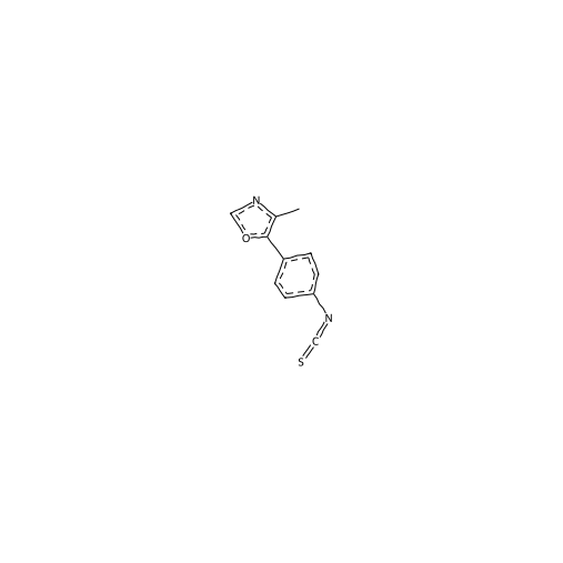 Cc1ncoc1-c1ccc(N=C=S)cc1